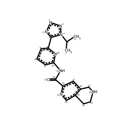 CC(C)n1nnnc1-c1cccc(NC(=O)c2cc3c(cn2)CCNC3)n1